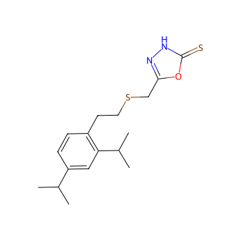 CC(C)c1ccc(CCSCc2n[nH]c(=S)o2)c(C(C)C)c1